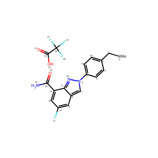 CNCc1ccc(-n2cc3cc(F)cc(C(N)=O)c3n2)cc1.O=C(O)C(F)(F)F